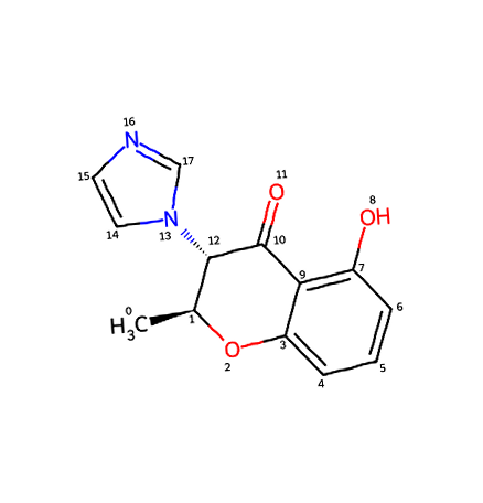 C[C@@H]1Oc2cccc(O)c2C(=O)[C@H]1n1ccnc1